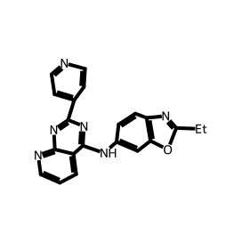 CCc1nc2ccc(Nc3nc(-c4ccncc4)nc4ncccc34)cc2o1